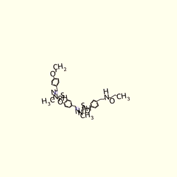 C=COc1ccc(/C=N/N(C)[PH](=S)Oc2ccc(/C=N/N(C)[PH](=S)Oc3ccc(CCNC(=O)CC)cc3)cc2)cc1